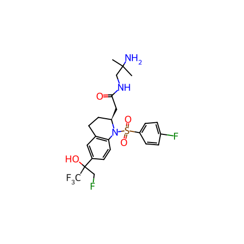 CC(C)(N)CNC(=O)C[C@@H]1CCc2cc(C(O)(CF)C(F)(F)F)ccc2N1S(=O)(=O)c1ccc(F)cc1